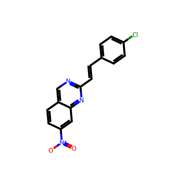 O=[N+]([O-])c1ccc2cnc(/C=C/c3ccc(Cl)cc3)nc2c1